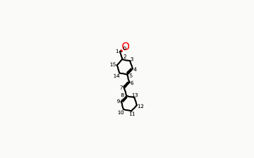 O=CC1CC=C(C=CC2=CCCCC2)CC1